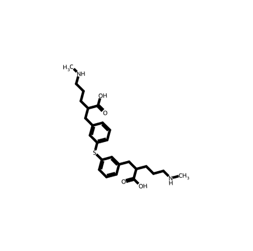 CNCCCC(Cc1cccc(Sc2cccc(CC(CCCNC)C(=O)O)c2)c1)C(=O)O